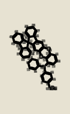 CCCCc1ccc(N(C2=CCCC=C2)c2cccc3c2Oc2cc4c(cc2O3)-c2ccccc2C42c3ccccc3-c3ccccc32)cc1